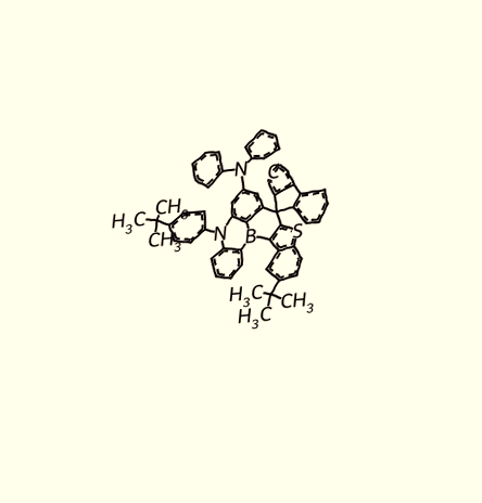 CC(C)(C)c1ccc(N2c3ccccc3B3c4c2cc(N(c2ccccc2)c2ccccc2)cc4C2(c4ccccc4-c4ccccc42)c2sc4ccc(C(C)(C)C)cc4c23)cc1